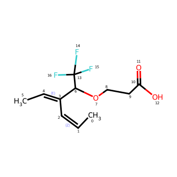 C/C=C\C(=C/C)C(OCCC(=O)O)C(F)(F)F